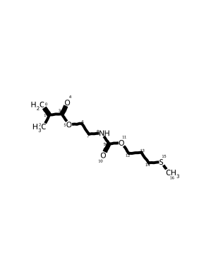 C=C(C)C(=O)OCCNC(=O)OCCCSC